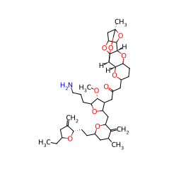 C=C1C(C)CC(CC[C@@H]2OC(CC)CC2=C)OC1CC1OC(CCCN)[C@H](OC)C1CC(=O)CC1CCC2O[C@H]3C4O[C@]5(C)CC4OC3[C@H](O5)[C@H]2O1